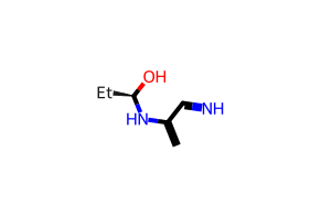 C=C(C=N)N[C@H](O)CC